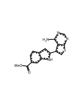 COC(=O)c1ccc2cc(-c3csc4ncnc(N)c34)[nH]c2c1